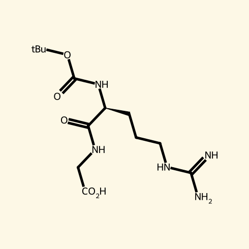 CC(C)(C)OC(=O)N[C@@H](CCCNC(=N)N)C(=O)NCC(=O)O